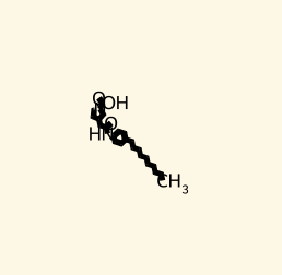 CCCCCCCCCCc1ccc(NC(=O)CC2CCN(C(=O)O)C2)cc1